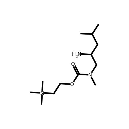 CC(C)CC(N)CN(C)C(=O)OCC[Si](C)(C)C